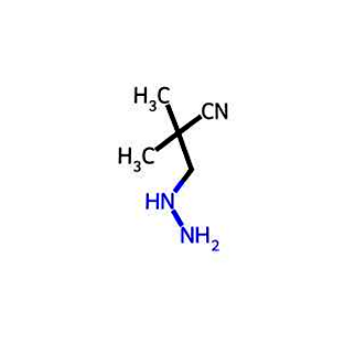 CC(C)(C#N)CNN